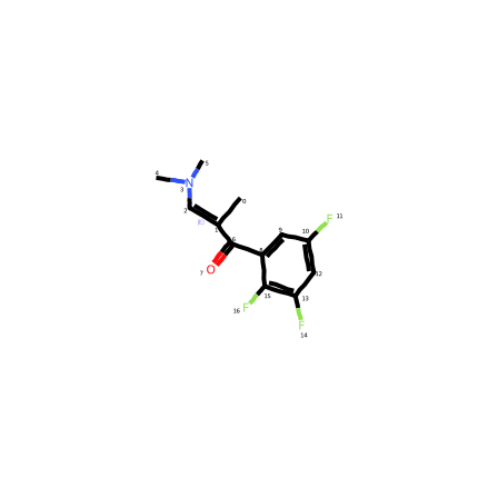 C/C(=C\N(C)C)C(=O)c1cc(F)cc(F)c1F